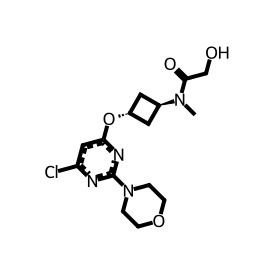 CN(C(=O)CO)[C@H]1C[C@H](Oc2cc(Cl)nc(N3CCOCC3)n2)C1